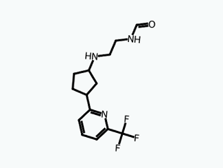 O=CNCCNC1CCC(c2cccc(C(F)(F)F)n2)C1